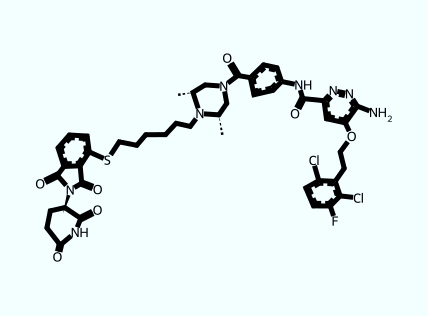 C[C@@H]1CN(C(=O)c2ccc(NC(=O)c3cc(OCCc4c(Cl)ccc(F)c4Cl)c(N)nn3)cc2)C[C@H](C)N1CCCCCCSc1cccc2c1C(=O)N([C@@H]1CCC(=O)NC1=O)C2=O